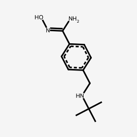 CC(C)(C)NCc1ccc(/C(N)=N/O)cc1